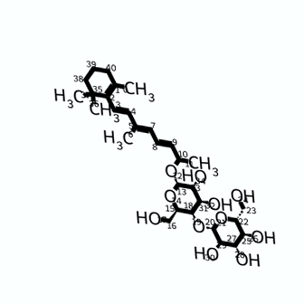 CC1=C(/C=C/C(C)=C/C=C/C(C)O[C@H]2O[C@H](CO)[C@@H](O[C@@H]3O[C@H](CO)[C@@H](O)[C@H](O)[C@H]3O)[C@H](O)[C@H]2O)C(C)(C)CCC1